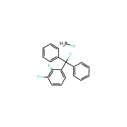 BF.Fc1cccc(C(F)(c2ccccc2)c2ccccc2)c1F